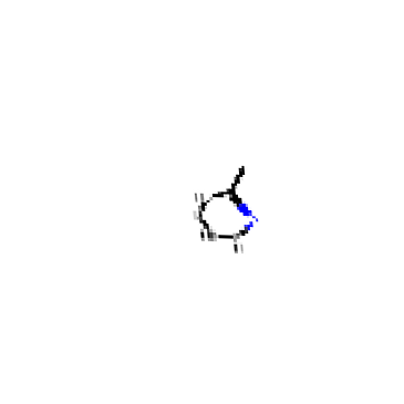 CC1=NBBBB1